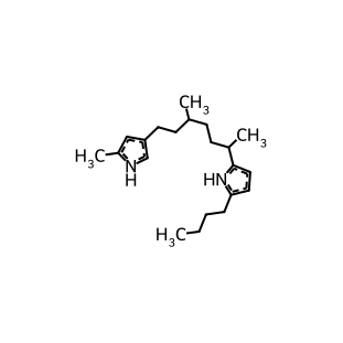 CCCCc1ccc(C(C)CCC(C)CCc2c[nH]c(C)c2)[nH]1